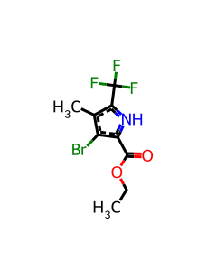 CCOC(=O)c1[nH]c(C(F)(F)F)c(C)c1Br